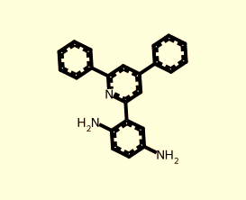 Nc1ccc(N)c(-c2cc(-c3ccccc3)cc(-c3ccccc3)n2)c1